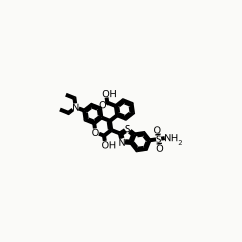 CCN(CC)c1ccc2c(c1)OC(O)C(c1nc3ccc(S(N)(=O)=O)cc3s1)=C2c1ccccc1C(=O)O